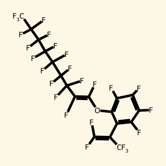 FC(F)=C(c1c(F)c(F)c(F)c(F)c1OC(F)=C(F)C(F)(F)C(F)(F)C(F)(F)C(F)(F)C(F)(F)C(F)(F)C(F)(F)F)C(F)(F)F